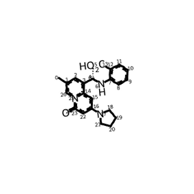 Cc1cc([C@H](C)Nc2ccccc2C(=O)O)c2cc(N3CCCC3)cc(=O)n2c1